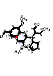 C=N/C=C(\C(=N/c1ccc(C=O)cc1OC)N(C(C=O)CC)C1CCCC1)N(C)C